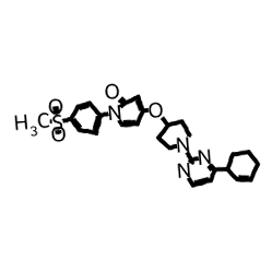 CS(=O)(=O)c1ccc(-n2ccc(OC3CCN(c4nccc(C5C=CCCC5)n4)CC3)cc2=O)cc1